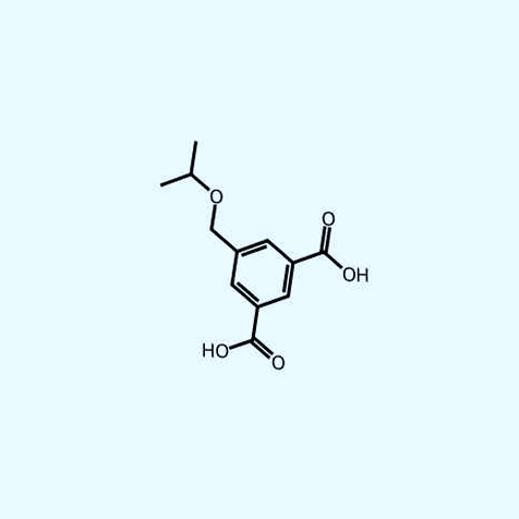 CC(C)OCc1cc(C(=O)O)cc(C(=O)O)c1